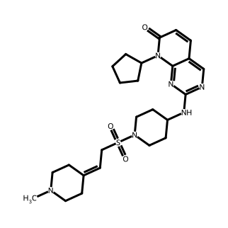 CN1CCC(=CCS(=O)(=O)N2CCC(Nc3ncc4ccc(=O)n(C5CCCC5)c4n3)CC2)CC1